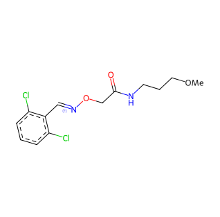 COCCCNC(=O)CO/N=C/c1c(Cl)cccc1Cl